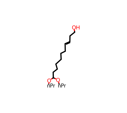 CCCOC(CCCCCC/C=C/CCO)OCCC